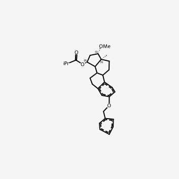 CO[C@H]1C[C@@H](OC(=O)C(C)C)C2C3CCc4cc(OCc5ccccc5)ccc4C3CC[C@@]21C